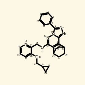 c1ccc(-c2nnc3c4c(c(OCc5ncccc5OCC5CC5)nn23)C2CCC4CC2)cc1